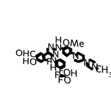 COc1cc(N2CCC(N3CCN(C)CC3)CC2)ccc1Nc1ncc(-c2cc(C=O)c(O)cc2F)c(Nc2ccccc2)n1.O=C(O)C(F)(F)F